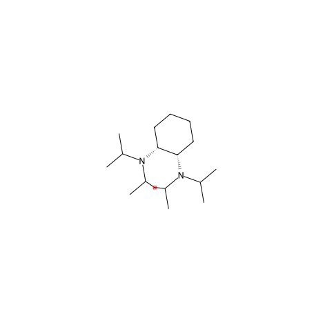 CC(C)N(C(C)C)[C@@H]1CCCC[C@@H]1N(C(C)C)C(C)C